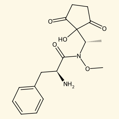 CON(C(=O)[C@@H](N)Cc1ccccc1)[C@@H](C)C1(O)C(=O)CCC1=O